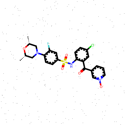 C[C@@H]1CN(c2ccc(S(=O)(=O)Nc3ccc(Cl)cc3C(=O)c3ccc[n+]([O-])c3)cc2F)C[C@H](C)O1